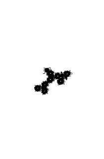 CC(C)(C)c1ccc2c(c1)c1cc(-c3ccc4c(c3)c3ccccc3n4-c3ccccc3)ccc1n2-c1ccc(-c2nc3ccccc3nc2-c2ccccc2)cc1